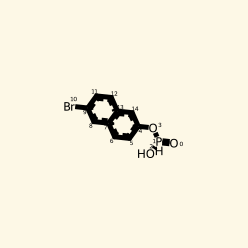 O=[PH](O)Oc1ccc2cc(Br)ccc2c1